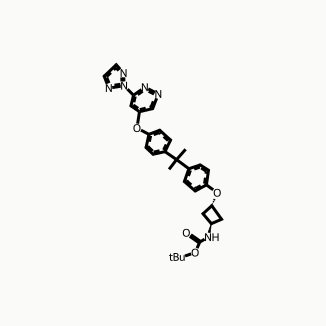 CC(C)(C)OC(=O)N[C@H]1C[C@H](Oc2ccc(C(C)(C)c3ccc(Oc4cnnc(-n5nccn5)c4)cc3)cc2)C1